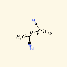 CC(C#N)[Te][Te]C(C)C#N